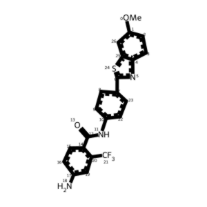 COc1ccc2nc(-c3ccc(NC(=O)c4ccc(N)cc4C(F)(F)F)cc3)sc2c1